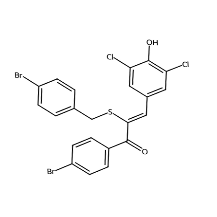 O=C(C(=Cc1cc(Cl)c(O)c(Cl)c1)SCc1ccc(Br)cc1)c1ccc(Br)cc1